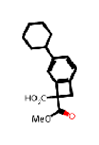 COC(=O)C1(C(=O)O)Cc2ccc(C3CCCCC3)cc21